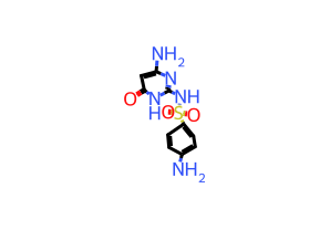 Nc1ccc(S(=O)(=O)Nc2nc(N)cc(=O)[nH]2)cc1